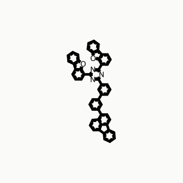 c1cc(-c2cccc(-c3ccc4c5c(cccc35)-c3ccccc3-4)c2)cc(-c2nc(-c3cccc4c3oc3ccccc34)nc(-c3cccc4c3oc3ccccc34)n2)c1